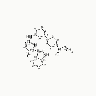 C=CC(=O)N1CCC(N2CCC[C@@H](Nc3ncc(Cl)c(-c4c[nH]c5ccccc45)n3)C2)CC1